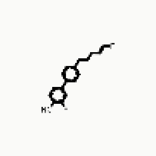 N#Cc1ccc(-c2ccc(CCCC=CF)cc2)cc1F